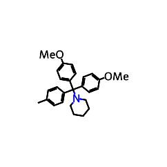 COc1ccc(C(c2ccc(C)cc2)(c2ccc(OC)cc2)N2CCCCC2)cc1